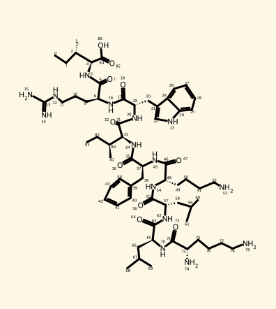 CC[C@H](C)[C@H](NC(=O)[C@H](CCCNC(=N)N)NC(=O)[C@H](Cc1c[nH]c2ccccc12)NC(=O)[C@@H](NC(=O)[C@H](Cc1ccccc1)NC(=O)[C@H](CCCCN)NC(=O)[C@H](CC(C)C)NC(=O)[C@H](CC(C)C)NC(=O)[C@@H](N)CCCCN)[C@@H](C)CC)C(=O)O